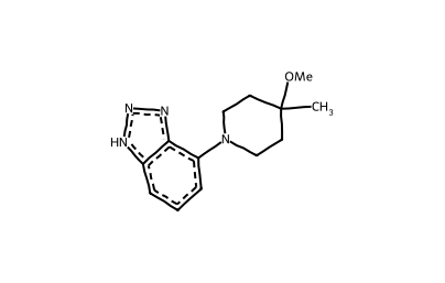 COC1(C)CCN(c2cccc3[nH]nnc23)CC1